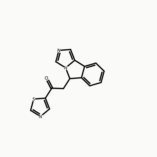 O=C(CC1c2ccccc2-c2cncn21)c1cncs1